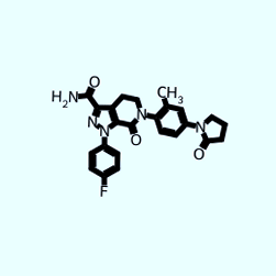 Cc1cc(N2CCCC2=O)ccc1N1CCc2c(C(N)=O)nn(-c3ccc(F)cc3)c2C1=O